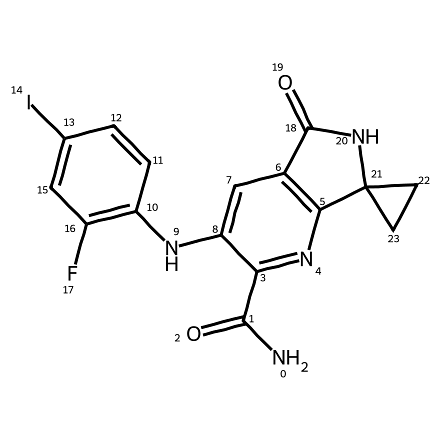 NC(=O)c1nc2c(cc1Nc1ccc(I)cc1F)C(=O)NC21CC1